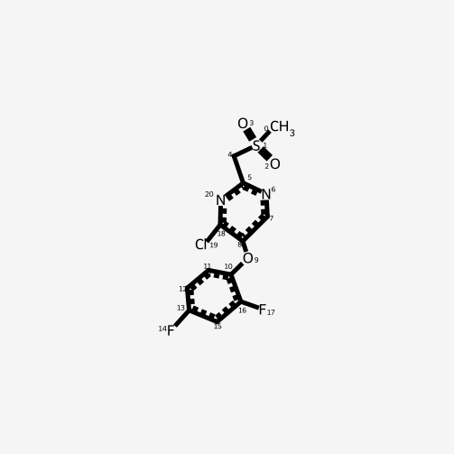 CS(=O)(=O)Cc1ncc(Oc2ccc(F)cc2F)c(Cl)n1